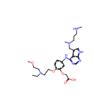 CCN(CCOC)CCOc1ccc(Nc2ncnc3[nH]cc(CN(C)CCCNC)c23)cc1OCC(=O)O